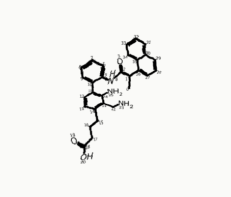 CC(C(=O)Nc1ccccc1-c1ccc(CCCC(=O)O)c(CN)c1N)c1cccc2ccccc12